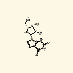 O=c1[nH]c(=O)c2ncn([C@@H]3O[C@H](CO)[C@H](O)[C@H]3O)c2[nH]1